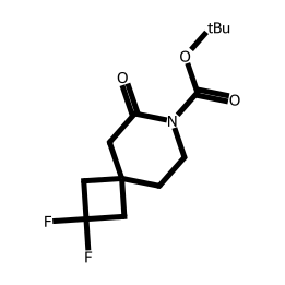 CC(C)(C)OC(=O)N1CCC2(CC1=O)CC(F)(F)C2